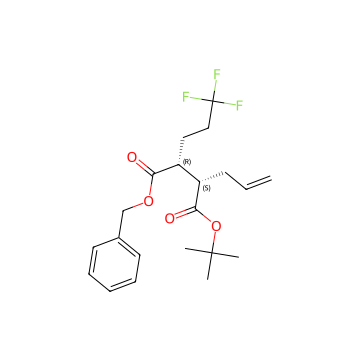 C=CC[C@H](C(=O)OC(C)(C)C)[C@@H](CCC(F)(F)F)C(=O)OCc1ccccc1